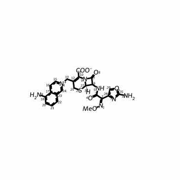 CO/N=C(\C(=O)NC1C(=O)N2C(C(=O)[O-])=C(C[n+]3ccc4c(N)cccc4c3)CS[C@H]12)c1coc(N)n1